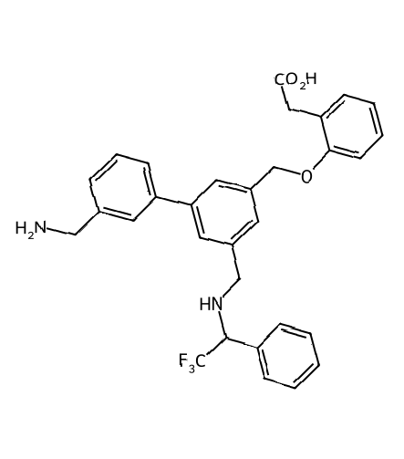 NCc1cccc(-c2cc(CNC(c3ccccc3)C(F)(F)F)cc(COc3ccccc3CC(=O)O)c2)c1